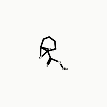 CCCCOC(=O)C12CCCCC1(C)O2